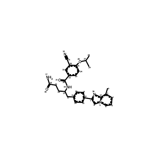 Cc1cccn2cc(-c3ccc(CC(CCC(N)=O)NC(=O)c4ccc(OC(C)C)c(C#N)c4)cc3)nc12